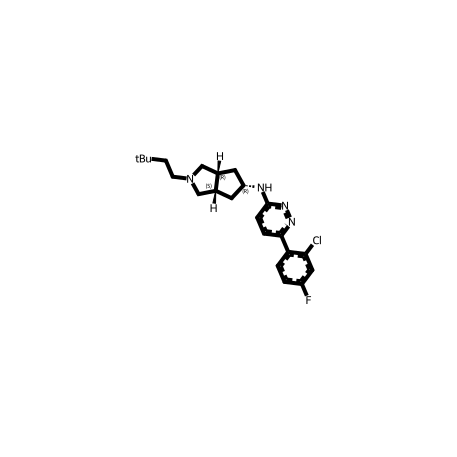 CC(C)(C)CCN1C[C@H]2C[C@@H](Nc3ccc(-c4ccc(F)cc4Cl)nn3)C[C@H]2C1